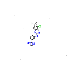 Cc1ccc2nc(Nc3cccc(-c4ncc[nH]4)c3)ncc2c1Cl